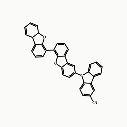 N#Cc1ccc2c(c1)c1ccccc1n2-c1ccc2oc3c(-c4cccc5c4OC4C=CC=CC54)cccc3c2c1